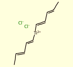 C/C=C/C=[CH]/[Ti+2]/[CH]=C/C=C/C.[Cl-].[Cl-]